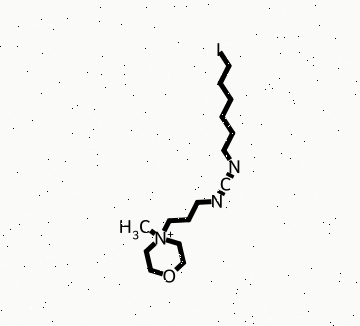 C[N+]1(CCCN=C=NCCCCCCI)CCOCC1